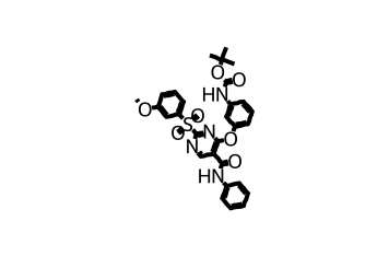 COc1cccc(S(=O)(=O)c2ncc(C(=O)Nc3ccccc3)c(Oc3cccc(NC(=O)OC(C)(C)C)c3)n2)c1